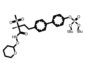 CC(C)(C)OP(=O)(Oc1ccc(-c2ccc(CC[C@](C)(C(=O)NOC3CCCCO3)S(C)(=O)=O)cc2)cc1)OC(C)(C)C